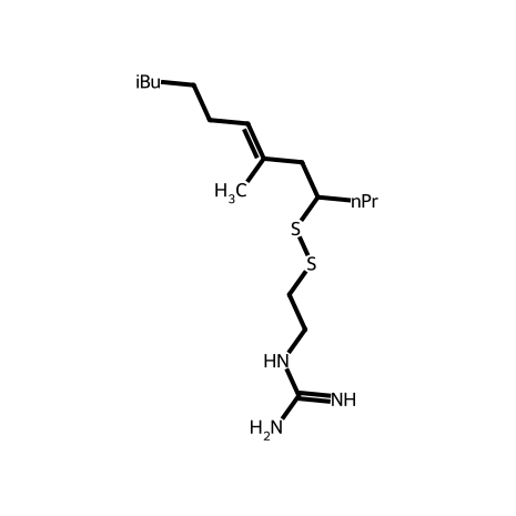 CCCC(C/C(C)=C/CCC(C)CC)SSCCNC(=N)N